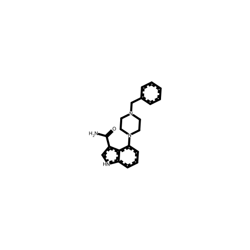 NC(=O)c1c[nH]c2cccc(N3CCN(Cc4ccccc4)CC3)c12